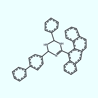 c1ccc(-c2ccc(C3N=C(c4c5ccccc5cc5ccc6ccccc6c45)NC(c4ccccc4)N3)cc2)cc1